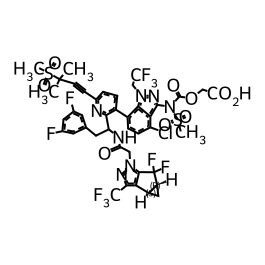 CC(C)(C#Cc1ccc(-c2ccc(Cl)c3c(N(C(=O)OCC(=O)O)S(C)(=O)=O)nn(CC(F)(F)F)c23)c(C(Cc2cc(F)cc(F)c2)NC(=O)Cn2nc(C(F)(F)F)c3c2C(F)(F)[C@@H]2C[C@H]32)n1)S(C)(=O)=O